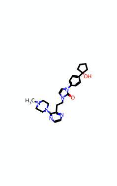 CN1CCN(c2nccnc2CCn2ccn(-c3ccc(C4(O)CCCC4)cc3)c2=O)CC1